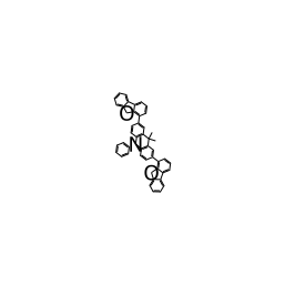 CC1(C)c2cc(-c3cccc4c3oc3ccccc34)ccc2N(c2ccccc2)c2ccc(-c3cccc4c3oc3ccccc34)cc21